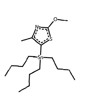 CCC[CH2][Sn]([CH2]CCC)([CH2]CCC)[c]1sc(OC)nc1C